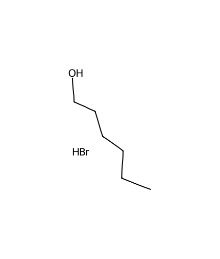 Br.CCCCCCO